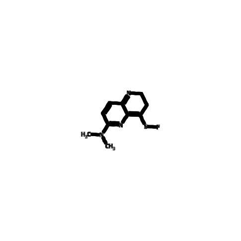 CN(C)c1ccc2c(n1)=C(SF)CCN=2